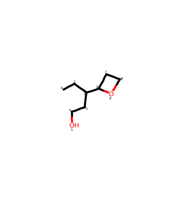 CCC(CCO)C1CCO1